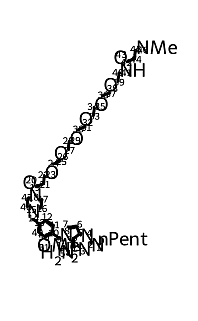 CCCCC\N=C(N)/N=C1/C=CN(Cc2ccc(CN3CCN(C(=O)CCOCCOCCOCCOCCOCCOCCNC(=O)CCNC)CC3)cc2OC)/C1=C\N